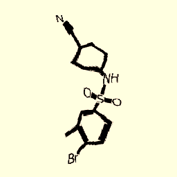 Cc1cc(S(=O)(=O)NC2CCC(C#N)CC2)ccc1Br